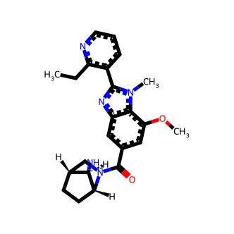 CCc1ncccc1-c1nc2cc(C(=O)N3C[C@H]4CC[C@@H]3[C@@H]4N)cc(OC)c2n1C